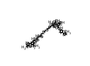 Cc1ncsc1-c1ccc(CNC(=O)[C@@H]2C[C@@H](O)CN2C(=O)[C@@H](NC(=O)CCOCCOCCOCCC(=O)NCCC(=O)Nc2cc3cc(-c4cncc(N)c4C)c(F)c(N)c3cn2)C(C)(C)C)cc1